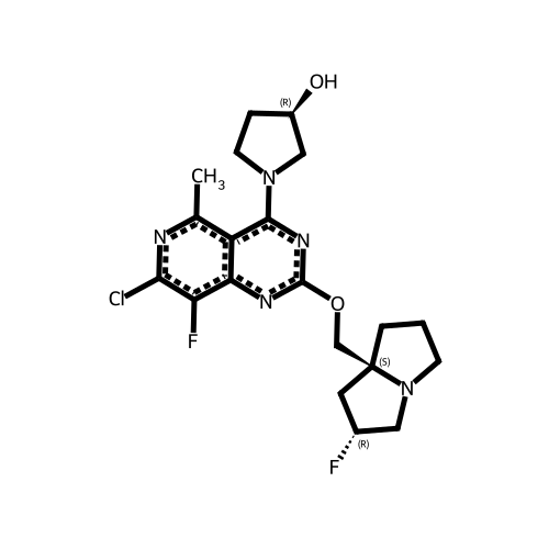 Cc1nc(Cl)c(F)c2nc(OC[C@@]34CCCN3C[C@H](F)C4)nc(N3CC[C@@H](O)C3)c12